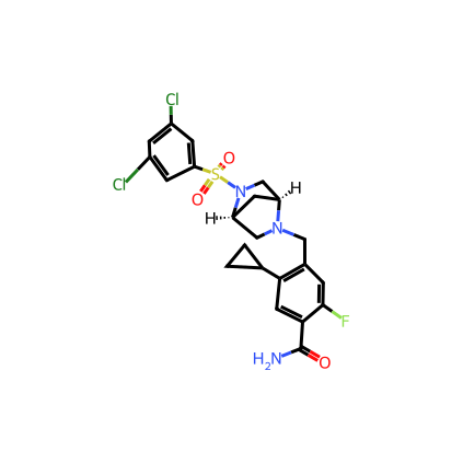 NC(=O)c1cc(C2CC2)c(CN2C[C@@H]3C[C@H]2CN3S(=O)(=O)c2cc(Cl)cc(Cl)c2)cc1F